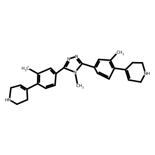 Cc1cc(-c2nnc(-c3ccc(C4=CCNCC4)c(C)c3)n2C)ccc1C1=CCNCC1